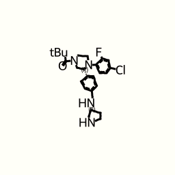 CC(C)(C)C(=O)N1CCN(c2ccc(Cl)cc2F)[C@H](c2ccc(CN[C@@H]3CCNC3)cc2)C1